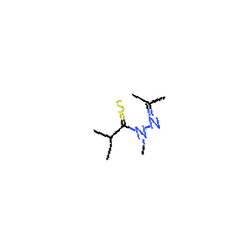 CC(C)=NN(C)C(=S)C(C)C